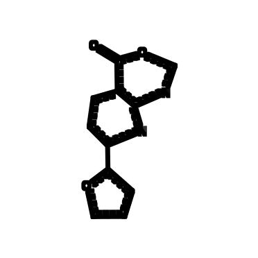 O=c1ocnc2nc(-c3ccco3)ccc12